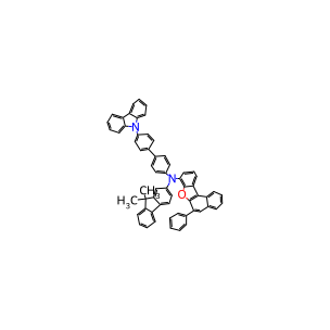 CC1(C)c2ccccc2-c2ccc(N(c3ccc(-c4ccc(-n5c6ccccc6c6ccccc65)cc4)cc3)c3cccc4c3oc3c(-c5ccccc5)cc5ccccc5c34)cc21